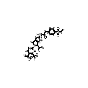 CCS(=O)(=O)c1ccc(CC(=O)Nc2nc3c(s2)CN(c2ncc(C(C)=O)c(C(F)(F)F)n2)C3C(C)C)cc1